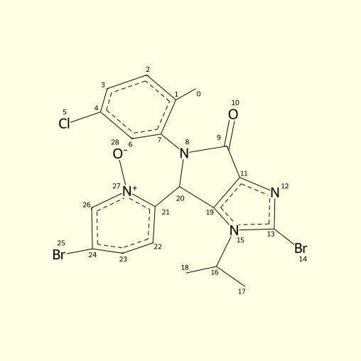 Cc1ccc(Cl)cc1N1C(=O)c2nc(Br)n(C(C)C)c2C1c1ccc(Br)c[n+]1[O-]